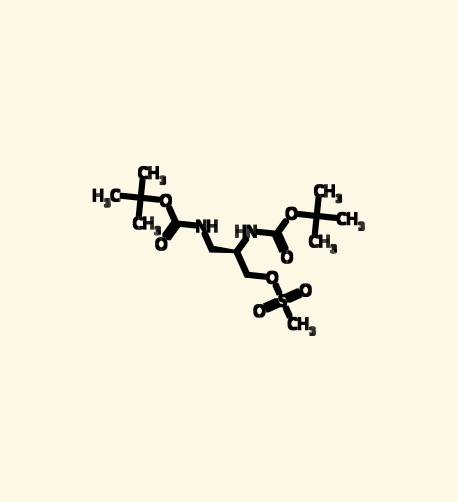 CC(C)(C)OC(=O)NC[C@H](COS(C)(=O)=O)NC(=O)OC(C)(C)C